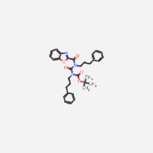 CC(C)(C)OC(=O)N(CCCc1ccccc1)C(=O)N(CCCc1ccccc1)C(=O)c1nc2ccccc2o1